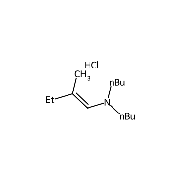 CCCCN(C=C(C)CC)CCCC.Cl